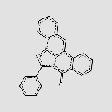 O=c1c2ccccc2c2cc3ccccc3c3nc(-c4ccccc4)n1c23